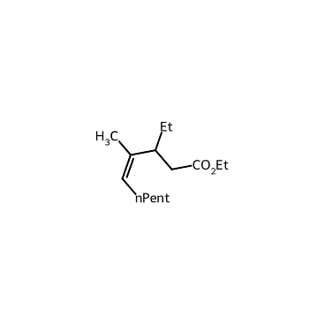 CCCCCC=C(C)C(CC)CC(=O)OCC